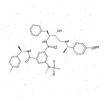 COc1ccc([C@@H](C)NC[C@@H](O)[C@H](Cc2ccccc2)NC(=O)c2cc(C(=O)N[C@H](C)c3ccc(C)cc3)cc(N(C)S(C)(=O)=O)c2)cc1